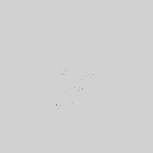 COC(=O)c1ccc(OCCCc2ccc(OCCCC3CCCCC3)cc2)c(C(=O)NCC2CCCCC2C(=O)OC)c1